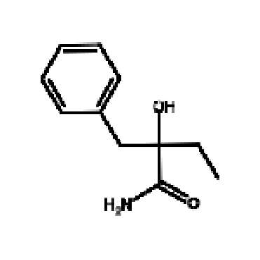 CCC(O)(Cc1ccccc1)C(N)=O